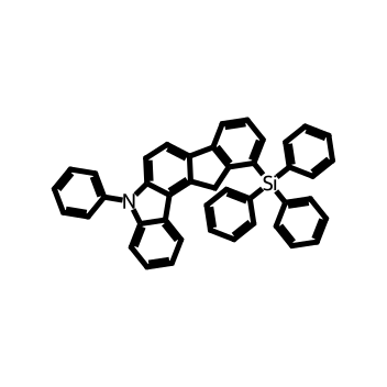 c1ccc(-n2c3ccccc3c3c4c(ccc32)-c2cccc([Si](c3ccccc3)(c3ccccc3)c3ccccc3)c2C4)cc1